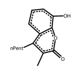 CCCCCc1c(C)c(=O)oc2c(O)cccc12